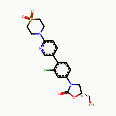 O=C1O[C@@H](CO)CN1c1ccc(-c2ccc(N3CCS(=O)(=O)CC3)nc2)c(F)c1